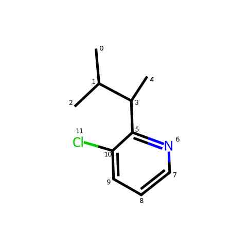 CC(C)C(C)c1ncccc1Cl